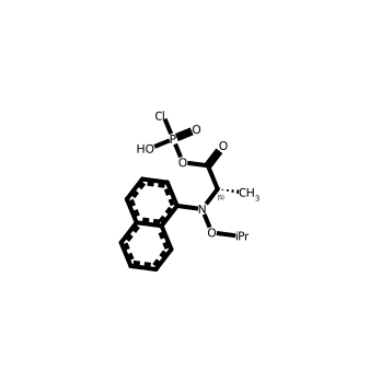 CC(C)ON(c1cccc2ccccc12)[C@@H](C)C(=O)OP(=O)(O)Cl